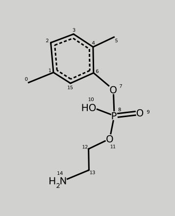 Cc1ccc(C)c(OP(=O)(O)OCCN)c1